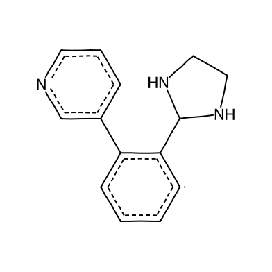 [c]1cccc(-c2cccnc2)c1C1NCCN1